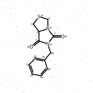 O=C1C2CSCN2C(=O)N1Cc1ccccc1